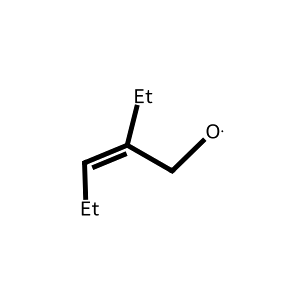 CCC=C(CC)C[O]